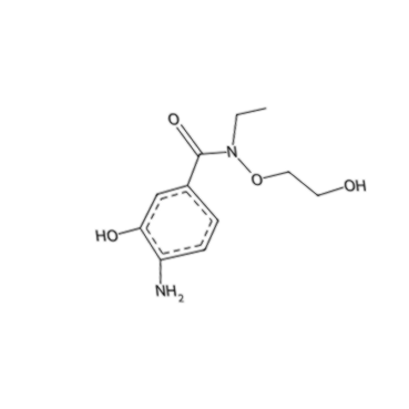 CCN(OCCO)C(=O)c1ccc(N)c(O)c1